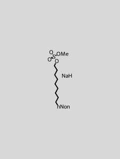 CCCCCCCCCCCCCCCCCCOS(=O)(=O)OC.[NaH]